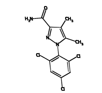 Cc1c(C(N)=O)nn(-c2c(Cl)cc(Cl)cc2Cl)c1C